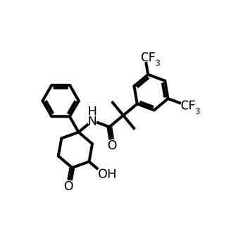 CC(C)(C(=O)NC1(c2ccccc2)CCC(=O)C(O)C1)c1cc(C(F)(F)F)cc(C(F)(F)F)c1